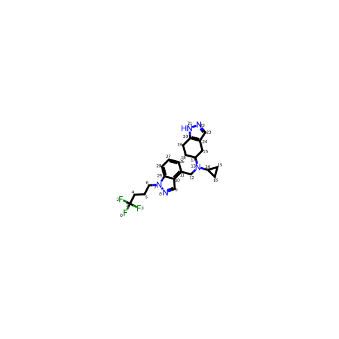 FC(F)(F)CCCn1ncc2c(CN(C3CC3)C3CCc4[nH]ncc4C3)cccc21